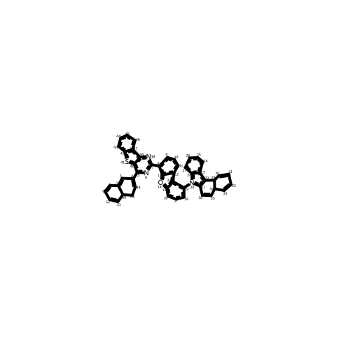 C1=CC2=CC(c3nc(-c4cccc5c4oc4cccc(-n6c7c(c8ccccc86)C6C=CC=CC6C=C7)c45)nc4c3sc3ccccc34)=CCC2C=C1